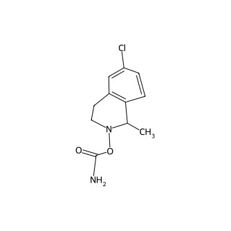 CC1c2ccc(Cl)cc2CCN1OC(N)=O